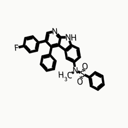 CN(c1ccc2[nH]c3ncc(-c4ccc(F)cc4)c(-c4ccccc4)c3c2c1)S(=O)(=O)c1ccccc1